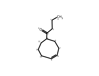 CCCC(=O)C1CC/C=C\CCC1